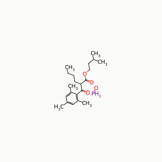 CCCCC(C(=O)OCCC(C)C)C(=O)c1c(C)cc(C)cc1C.O=[PH3]